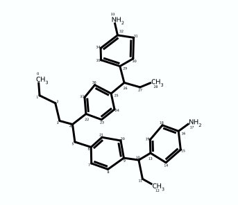 CCCCC(Cc1ccc(C(CC)c2ccc(N)cc2)cc1)c1ccc(C(CC)c2ccc(N)cc2)cc1